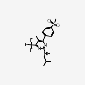 Cc1c(-c2ccc(S(C)(=O)=O)cc2)nc(NCC(C)C)nc1C(F)(F)F